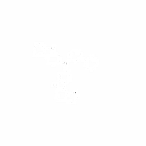 c1ccc(-c2cccc(N(c3ccc4c(c3)oc3ccccc34)c3ccc4c(c3)oc3ccc5cccnc5c34)c2)cc1